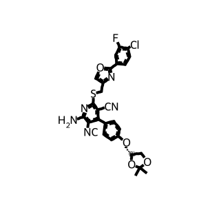 [C-]#[N+]c1c(N)nc(SCc2coc(-c3ccc(Cl)c(F)c3)n2)c(C#N)c1-c1ccc(OC[C@@H]2COC(C)(C)O2)cc1